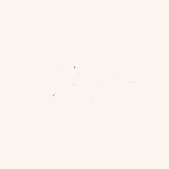 COC(=O)C1=CC[C@H](O)C2[C@@]1(C)CC[C@H]1C(=O)O[C@H](c3ccoc3)C[C@]21C